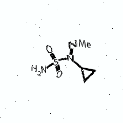 CNN(C1CC1)S(N)(=O)=O